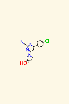 N#Cc1nc(-c2ccc(Cl)cc2)cc(N2CC[C@H](O)C2)n1